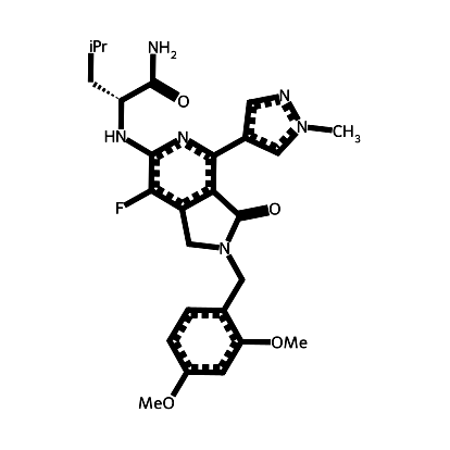 COc1ccc(CN2Cc3c(F)c(N[C@H](CC(C)C)C(N)=O)nc(-c4cnn(C)c4)c3C2=O)c(OC)c1